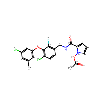 N#Cc1cc(Cl)cc(Oc2c(Cl)ccc(CNC(=O)c3cccn3OC(=O)C(F)(F)F)c2F)c1